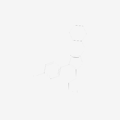 O=C(O)CCc1oc(SC2CCCCC2)nc1-c1ccc(Cl)cc1